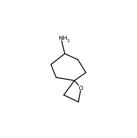 NC1CCC2(CCO2)CC1